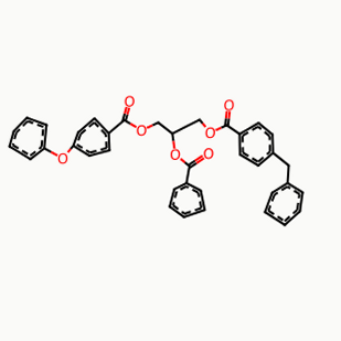 O=C(OCC(COC(=O)c1ccc(Oc2ccccc2)cc1)OC(=O)c1ccccc1)c1ccc(Cc2ccccc2)cc1